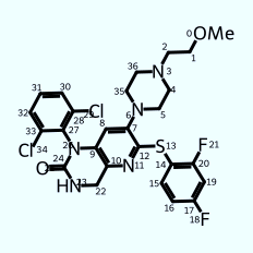 COCCN1CCN(c2cc3c(nc2Sc2ccc(F)cc2F)CNC(=O)N3c2c(Cl)cccc2Cl)CC1